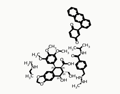 CCNN.CNNCc1ccc(C(=O)NC(C)C)cc1.COc1cc([C@@H]2c3cc4c(cc3[C@H](O)[C@@H](CO)[C@@H]2C(=O)O)OCO4)cc(OC)c1OC.O=C1C=CC(=O)C(c2cccc3cc4ccccc4cc23)=C1